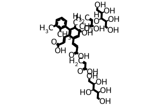 C=CC(=O)O.C=CC(=O)O.Cc1cccc(C2=C(C=CC(=O)O)C(C=CC(=O)O)=CC(C)(O)C2C)c1C.OC[C@@H](O)[C@H](O)[C@@H](O)CO.OC[C@@H](O)[C@H](O)[C@@H](O)CO